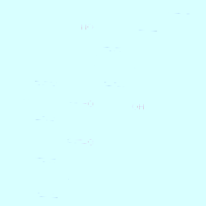 CCCCc1cc(O)c(Oc2ccccc2C(=O)c2ccccc2)cc1O